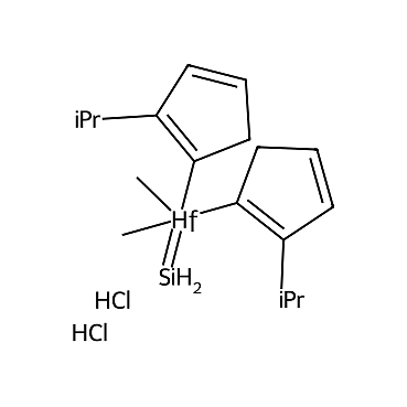 CC(C)C1=[C]([Hf]([CH3])([CH3])(=[SiH2])[C]2=C(C(C)C)C=CC2)CC=C1.Cl.Cl